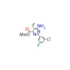 C=Cc1c(N)nc(-c2cc(F)cc(Cl)c2)nc1C(=O)OC